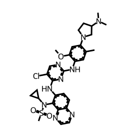 COc1cc(N2CCC(N(C)C)C2)c(C)cc1Nc1ncc(Cl)c(Nc2ccc3nccnc3c2N(C2CC2)S(C)(=O)=O)n1